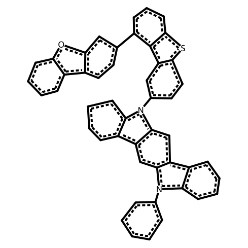 c1ccc(-n2c3ccccc3c3cc4c(cc32)c2ccccc2n4-c2ccc3sc4cccc(-c5ccc6c(c5)oc5ccccc56)c4c3c2)cc1